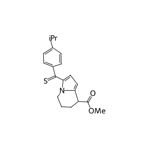 COC(=O)C1CCCn2c(C(=S)c3ccc(C(C)C)cc3)ccc21